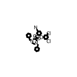 N#Cc1ccc(Oc2cc(Cl)cc(Cl)c2)c(S(=O)(=O)C2CN(Cc3ccccc3)CCN(Cc3ccccc3)C2)c1